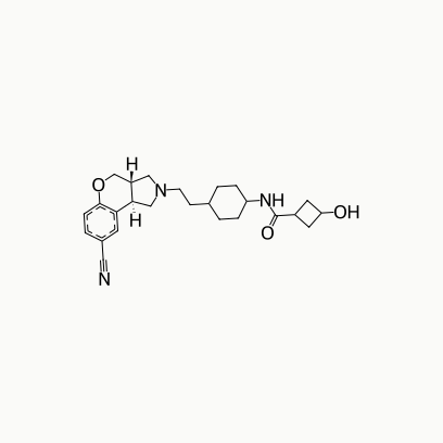 N#Cc1ccc2c(c1)[C@@H]1CN(CCC3CCC(NC(=O)C4CC(O)C4)CC3)C[C@H]1CO2